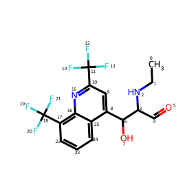 CCNC(C=O)C(O)c1cc(C(F)(F)F)nc2c(C(F)(F)F)cccc12